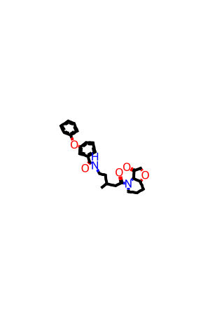 CC(CCNC(=O)c1cccc(Oc2ccccc2)c1)CC(=O)N1CCCC2OCC(=O)C21